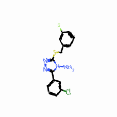 Nn1c(SCc2cccc(F)c2)nnc1-c1cccc(Cl)c1